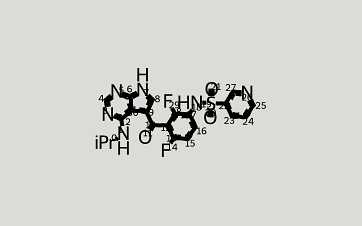 CC(C)Nc1ncnc2[nH]cc(C(=O)c3c(F)ccc(NS(=O)(=O)c4cccnc4)c3F)c12